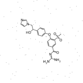 CS(=O)(=O)c1cc(C(=O)N=C(N)N)ccc1Oc1ccc(C(O)Cn2ccnc2)cc1